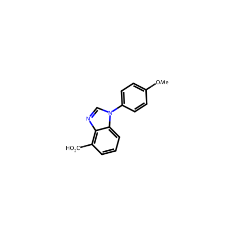 COc1ccc(-n2cnc3c(C(=O)O)cccc32)cc1